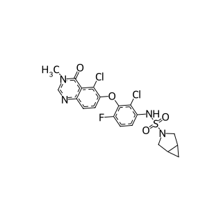 Cn1cnc2ccc(Oc3c(F)ccc(NS(=O)(=O)N4CC5CC5C4)c3Cl)c(Cl)c2c1=O